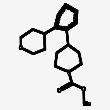 CC(C)(C)OC(=O)N1CCC(c2ccccc2C2CCOCC2)CC1